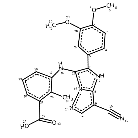 COc1ccc(-c2[nH]c3c(C#N)cnn3c2Nc2cccc(C(=O)O)c2C)cc1OC